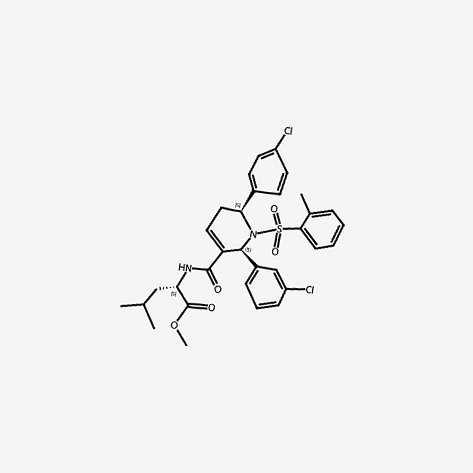 COC(=O)[C@H](CC(C)C)NC(=O)C1=CC[C@@H](c2ccc(Cl)cc2)N(S(=O)(=O)c2ccccc2C)[C@H]1c1cccc(Cl)c1